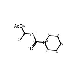 CC(=O)OC(C)NC(=O)N1CCCCC1